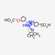 Cc1nc(N2NC(c3cccc(OCC(=O)O)c3)NN2c2ccc(S(=O)(=O)O)cc2)sc1C